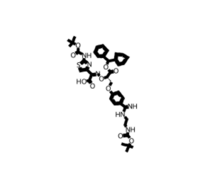 CC(C)(C)OC(=O)NCCNC(=N)c1ccc(OC[C@H](O/N=C(\C(=O)O)c2csc(NC(=O)OC(C)(C)C)n2)C(=O)OC(c2ccccc2)c2ccccc2)cc1